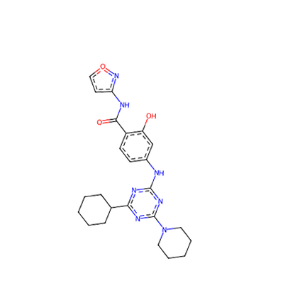 O=C(Nc1ccon1)c1ccc(Nc2nc(C3CCCCC3)nc(N3CCCCC3)n2)cc1O